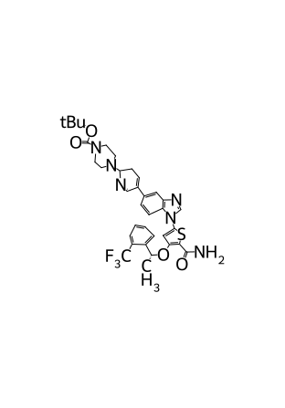 C[C@@H](Oc1cc(-n2cnc3cc(C4=CCC(N5CCN(C(=O)OC(C)(C)C)CC5)N=C4)ccc32)sc1C(N)=O)c1ccccc1C(F)(F)F